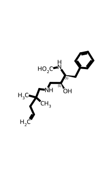 C=CCC(C)(C)CNC[C@H](O)[C@H](Cc1ccccc1)NC(=O)O